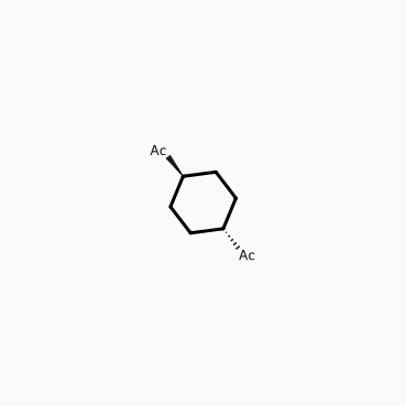 CC(=O)[C@H]1CC[C@H](C(C)=O)CC1